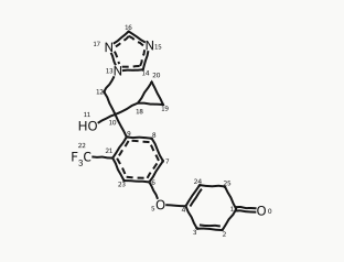 O=C1C=CC(Oc2ccc(C(O)(Cn3cncn3)C3CC3)c(C(F)(F)F)c2)=CC1